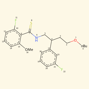 CCCCOCCC(CNC(=S)c1c(F)cccc1OC)c1cccc(F)c1